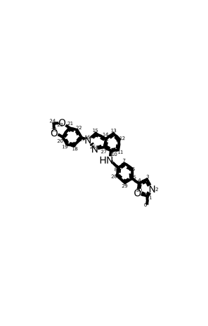 Cc1ncc(-c2ccc(Nc3cccc4cn(-c5ccc6c(c5)OCO6)nc34)cc2)o1